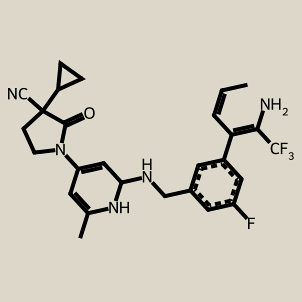 C/C=C\C(=C(/N)C(F)(F)F)c1cc(F)cc(CNC2C=C(N3CCC(C#N)(C4CC4)C3=O)C=C(C)N2)c1